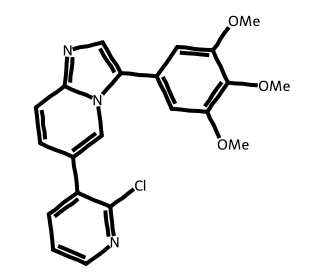 COc1cc(-c2cnc3ccc(-c4cccnc4Cl)cn23)cc(OC)c1OC